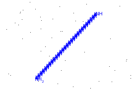 N=N/N=N/N=N/N=N/N=N/N=N/N=N/N=N/N=N/N=N/N=N/N=N/N=N/N=N/N=N/N=N/N=N/N=N/N=N/N=N/N=N/N=N/N=N/N=N/N=N/N=N/N=N/N=N/N